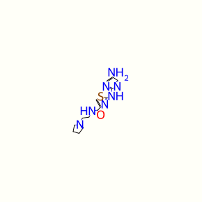 Nc1cnc(Nc2nc(C(=O)NCCN3CCCC3)cs2)nc1